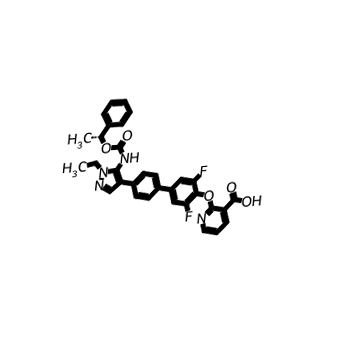 CCn1ncc(-c2ccc(-c3cc(F)c(Oc4ncccc4C(=O)O)c(F)c3)cc2)c1NC(=O)O[C@H](C)c1ccccc1